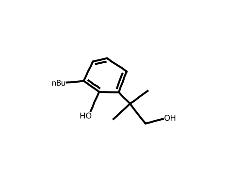 CCCCc1cccc(C(C)(C)CO)c1O